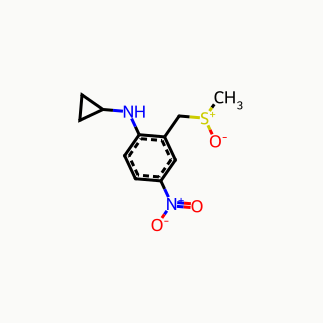 C[S+]([O-])Cc1cc([N+](=O)[O-])ccc1NC1CC1